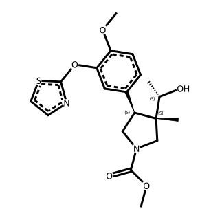 COC(=O)N1C[C@@H](c2ccc(OC)c(Oc3nccs3)c2)[C@](C)([C@H](C)O)C1